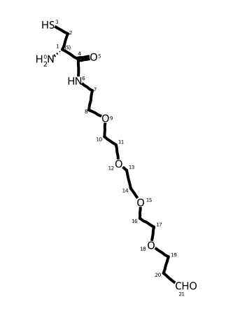 N[C@H](CS)C(=O)NCCOCCOCCOCCOCCC=O